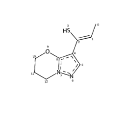 C/C=C(\S)c1cnn2c1OCCC2